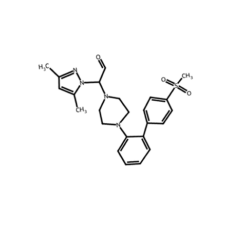 Cc1cc(C)n(C(C=O)N2CCN(c3ccccc3-c3ccc(S(C)(=O)=O)cc3)CC2)n1